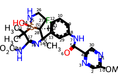 COc1cnc(C(=O)Nc2ccc(F)c([C@@]3(C)N=C(NC(=O)O)C(C)(C)S4(O)NCC[C@@H]34)c2)cn1